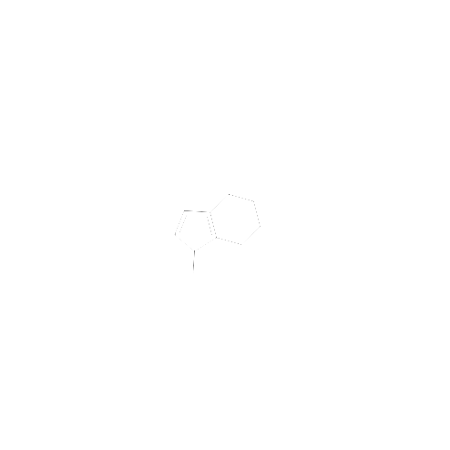 [I-].[I-].[I-].[Ti+3][CH]1C=CC2=C1CCCC2